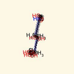 CC(C/C=C/C=C/C=C/C=C/C=C/C(O)C(C)C(O)C(C)/C=C/C=C/C=C/C=C/C=C/C=C/C(=O)NC1=C(O)CCC1=O)OC1OC(C)C(O)C(O)C1O